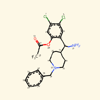 NC(c1cc(Cl)c(Cl)cc1OC(=O)C(F)(F)F)C1CCN(Cc2ccccc2)CC1